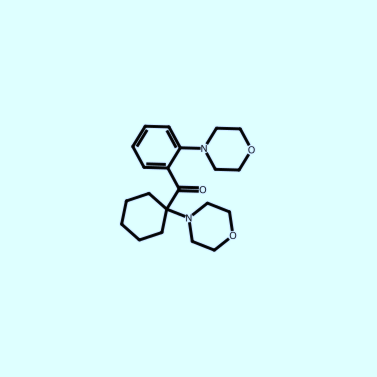 O=C(c1ccccc1N1CCOCC1)C1(N2CCOCC2)CCCCC1